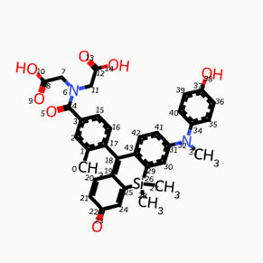 Cc1cc(C(=O)N(CC(=O)O)CC(=O)O)ccc1C1=C2C=CC(=O)C=C2[Si](C)(C)c2cc(N(C)c3ccc(O)cc3)ccc21